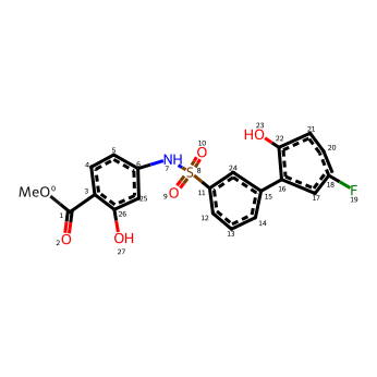 COC(=O)c1ccc(NS(=O)(=O)c2cccc(-c3cc(F)ccc3O)c2)cc1O